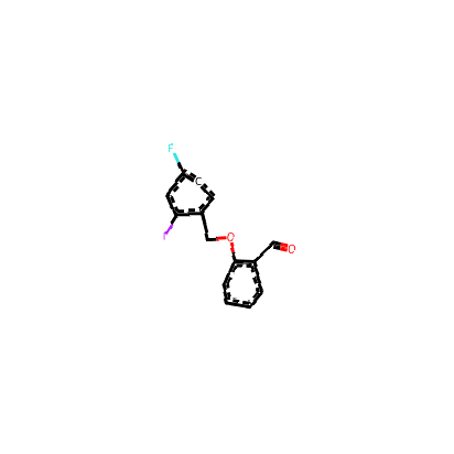 O=Cc1ccccc1OCc1ccc(F)cc1I